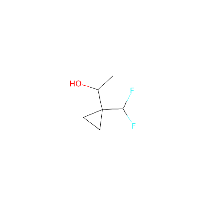 CC(O)C1(C(F)F)CC1